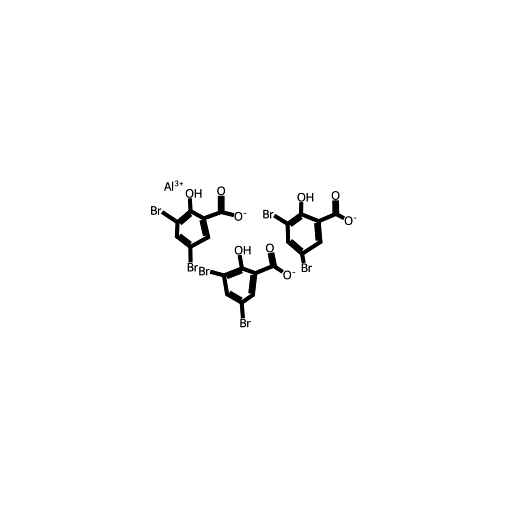 O=C([O-])c1cc(Br)cc(Br)c1O.O=C([O-])c1cc(Br)cc(Br)c1O.O=C([O-])c1cc(Br)cc(Br)c1O.[Al+3]